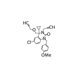 C#CCOCC1(C2CC2)c2cc(Cl)ccc2N(Cc2ccc(OC)cc2)C(=O)N1CC#C